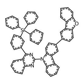 c1ccc([Si](c2ccccc2)(c2ccccc2)c2cccc(-c3nc(-n4c5ccccc5c5cc(-c6ccc7oc8ccccc8c7c6)ccc54)nc4ccccc34)c2)cc1